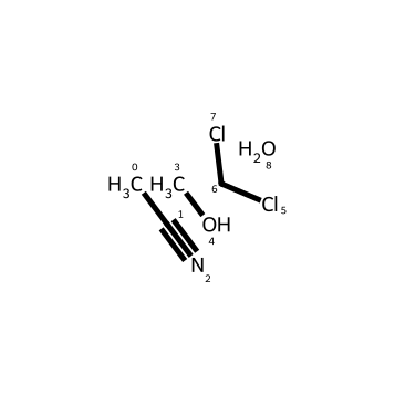 CC#N.CO.ClCCl.O